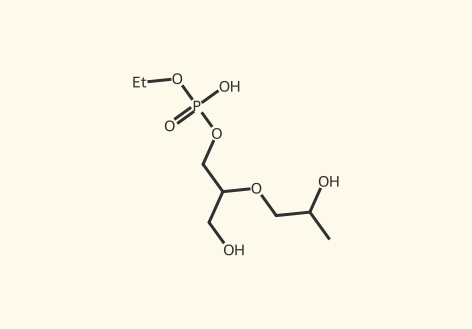 CCOP(=O)(O)OCC(CO)OCC(C)O